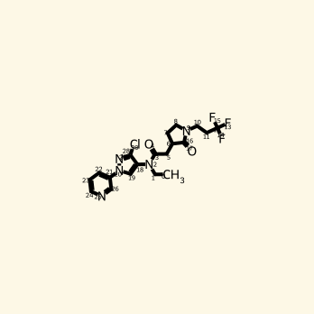 CCN(C(=O)CC1CCN(CCC(F)(F)F)C1=O)c1cn(-c2cccnc2)nc1Cl